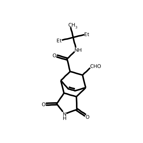 CCC(C)(CC)NC(=O)C1C(C=O)C2C=CC1C1C(=O)NC(=O)C21